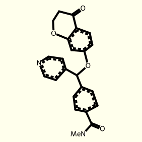 CNC(=O)c1ccc(C(Oc2ccc3c(c2)OCCC3=O)c2ccncc2)cc1